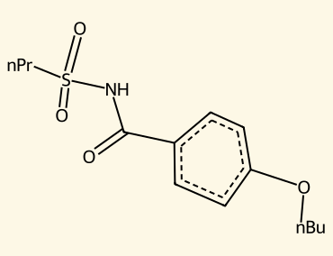 CCCCOc1ccc(C(=O)NS(=O)(=O)CCC)cc1